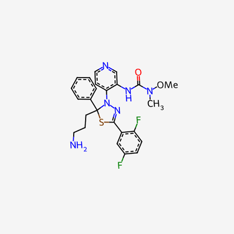 CON(C)C(=O)Nc1cnccc1N1N=C(c2cc(F)ccc2F)SC1(CCCN)c1ccccc1